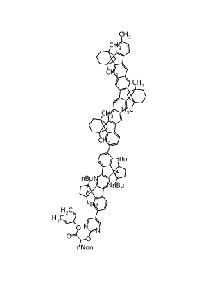 C=CC(C=C)OC(=O)C(CCCCCCCCC)Oc1ncc(-c2ccc3c(c2)C2(c4nc5c(nc4-3)C3(c4cc(-c6ccc7c(c6)C6(c8cc9cc%10c(cc9cc8-7)C7(c8cc9cc%11c(cc9cc8-%10)C8(c9cc(C)ccc9-%11)C9(C)CCCC8(C)CCC9)C8(C)CCCC7(C)CCC8)C7(C)CCCC6(C)CCC7)ccc4-5)C4(CCCC)CCC3(CCCC)CC4)C3(CCCC)CCC2(CCCC)CC3)cn1